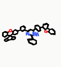 C1=CC2Oc3c(-c4ccc(C5C=C(c6cccc(-c7ccc8c(c7)Oc7ccccc7C87c8ccccc8-c8ccccc87)c6)N=C(c6ccccc6)N5)cc4)cccc3C2C=C1